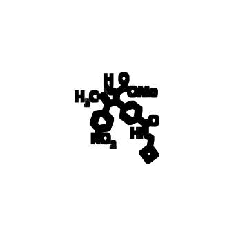 COC(=O)c1[nH]c(C)c(-c2ccc([N+](=O)[O-])cc2)c1-c1ccc(C(=O)NCC2CCC2)cc1